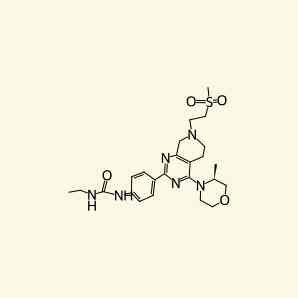 CCNC(=O)Nc1ccc(-c2nc3c(c(N4CCOC[C@@H]4C)n2)CCN(CCS(C)(=O)=O)C3)cc1